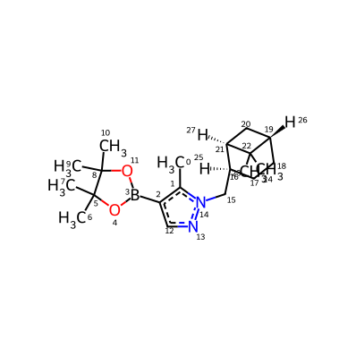 Cc1c(B2OC(C)(C)C(C)(C)O2)cnn1C[C@@H]1CC[C@H]2C[C@H]1C2(C)C